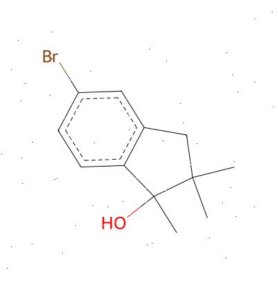 CC1(C)Cc2cc(Br)ccc2C1(C)O